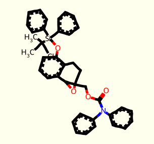 CC(C)(C)[Si](Oc1cccc2c1CCC1(COC(=O)N(c3ccccc3)c3ccccc3)OC21)(c1ccccc1)c1ccccc1